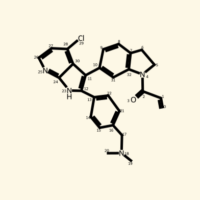 C=CC(=O)N1CCc2ccc(-c3c(-c4ccc(CN(C)C)cc4)[nH]c4nccc(Cl)c34)cc21